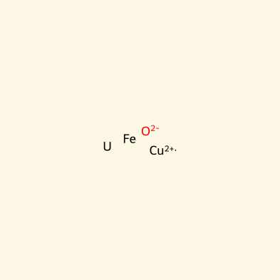 [Cu+2].[Fe].[O-2].[U]